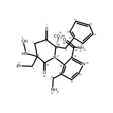 CC(C)CC1(NO)CC(=O)[C@](Cc2ccccc2)(C(=O)O)N(c2c(CN)ccnc2C(N)=O)C1=O